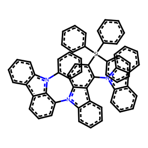 c1ccc(-n2c3ccccc3c3cccc(-n4c5ccccc5c5c(-n6c7ccccc7c7ccccc76)c([Si](c6ccccc6)(c6ccccc6)c6ccccc6)ccc54)c32)cc1